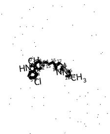 C=C1Nc2ccc(Cl)cc2C12CCN(CCCc1cnc(N3CC(C)C3)nc1)CC2